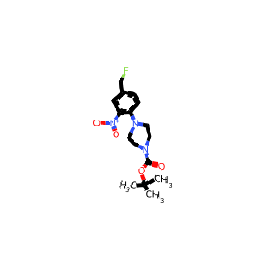 CC(C)(C)OC(=O)N1CCN(c2ccc(CF)cc2[N+](=O)[O-])CC1